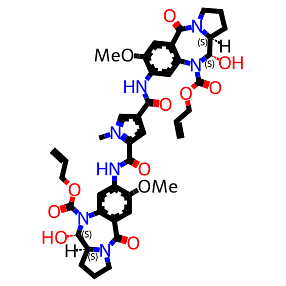 C=CCOC(=O)N1c2cc(NC(=O)c3cc(C(=O)Nc4cc5c(cc4OC)C(=O)N4CCC[C@H]4[C@H](O)N5C(=O)OCC=C)n(C)c3)c(OC)cc2C(=O)N2CCC[C@H]2[C@@H]1O